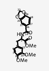 COC(=O)C(Cc1ccc(OC)c(OC)c1)NC(=O)c1ccc2c(c1)OCO2